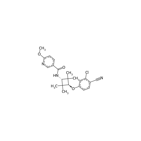 COc1ccc(C(=O)N[C@H]2C(C)(C)[C@H](Oc3ccc(C#N)c(Cl)c3)C2(C)C)cn1